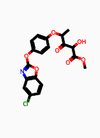 COC(=O)C(O)C(=O)C(C)Oc1ccc(Oc2nc3cc(Cl)ccc3o2)cc1